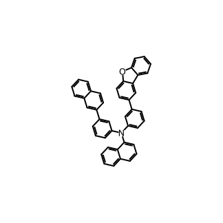 c1cc(-c2ccc3ccccc3c2)cc(N(c2cccc(-c3ccc4oc5ccccc5c4c3)c2)c2cccc3ccccc23)c1